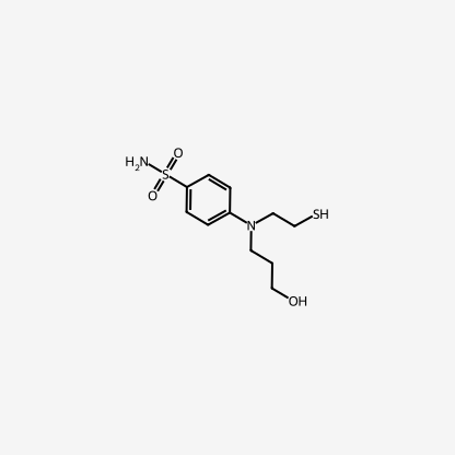 NS(=O)(=O)c1ccc(N(CCS)CCCO)cc1